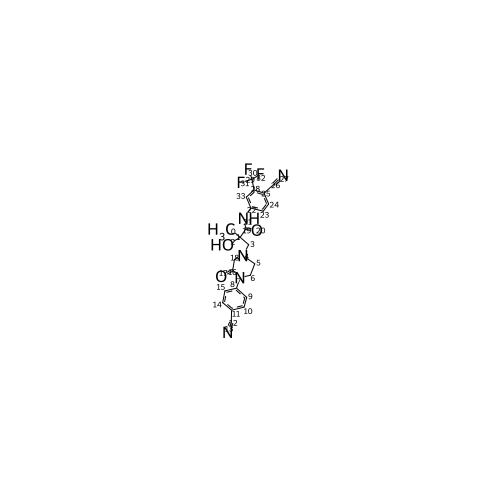 CC(O)(CN1CCN(c2ccc(C#N)cc2)C(=O)C1)C(=O)Nc1ccc(C#N)c(C(F)(F)F)c1